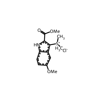 COC(=O)c1[nH]c2ccc(OC)cc2c1[S+](C)C.[Cl-]